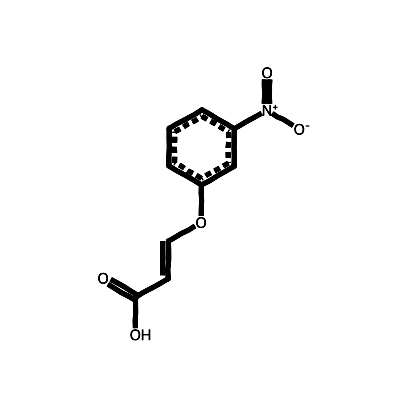 O=C(O)/C=C/Oc1cccc([N+](=O)[O-])c1